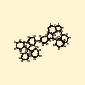 c1ccc(-n2ccc3ccc4c5cc(-c6ccc7c(c6)C(c6ccccc6)(c6ccccc6)c6ccccc6-7)ccc5n(-c5ccccc5)c4c32)cc1